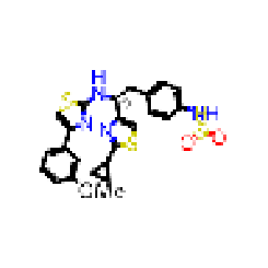 COc1cccc(-c2csc(N[C@@H](Cc3ccc(N[SH](=O)=O)cc3)c3csc(C4CC4)n3)n2)c1